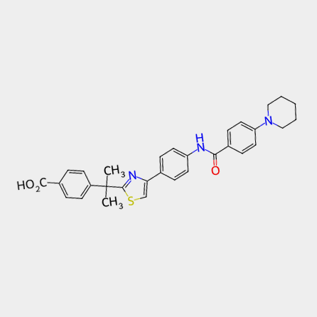 CC(C)(c1ccc(C(=O)O)cc1)c1nc(-c2ccc(NC(=O)c3ccc(N4CCCCC4)cc3)cc2)cs1